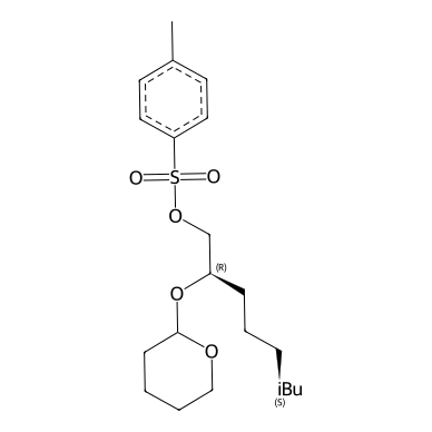 CC[C@H](C)CCC[C@H](COS(=O)(=O)c1ccc(C)cc1)OC1CCCCO1